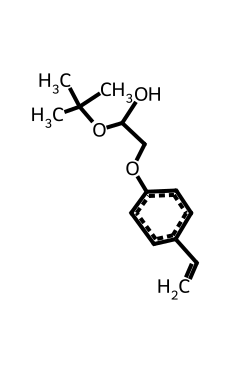 C=Cc1ccc(OCC(O)OC(C)(C)C)cc1